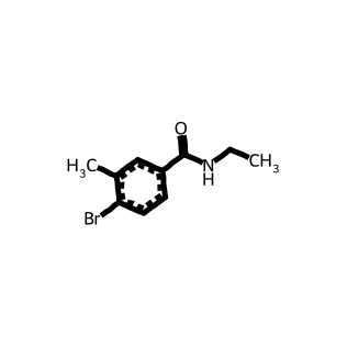 CCNC(=O)c1ccc(Br)c(C)c1